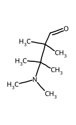 CN(C)C(C)(C)C(C)(C)C=O